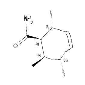 C[C@H]1[C@@H](C(N)=O)[C@H](C)C=C[C@@H]1C